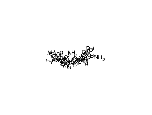 CC(C)C[C@H](NC(=O)[C@H](C)NC(=O)[C@H](CCC(=O)O)NC(=O)[C@H](CCCCN)NC(=O)[C@H](CCC(=O)O)NC(=O)[C@H](CC(=O)O)NC(=O)[C@@H](N)CCCCN)C(=O)N[C@@H](CC(C)C)C(=O)N[C@@H](CCCCN)C(=O)N[C@@H](CCC(=O)O)C(=O)O